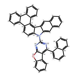 c1ccc2cc3c(cc2c1)c1c2c4ccccc4c4ccccc4c2ccc1n3-c1nc(-c2cccc3ccccc23)c2c(n1)oc1ccccc12